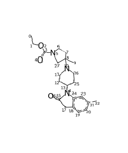 CCOC(=O)N1CCC(C)(N2CCC(N3C(=O)Cc4ccc(C)cc43)CC2)C1